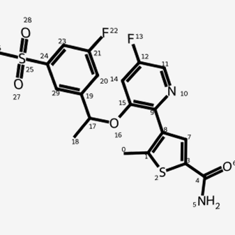 Cc1sc(C(N)=O)cc1-c1ncc(F)cc1OC(C)c1cc(F)cc(S(C)(=O)=O)c1